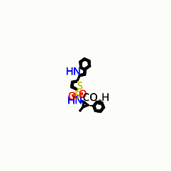 CC1[C@H](c2ccccc2)[C@]1(NS(=O)(=O)c1ccc(-c2cc3ccccc3[nH]2)s1)C(=O)O